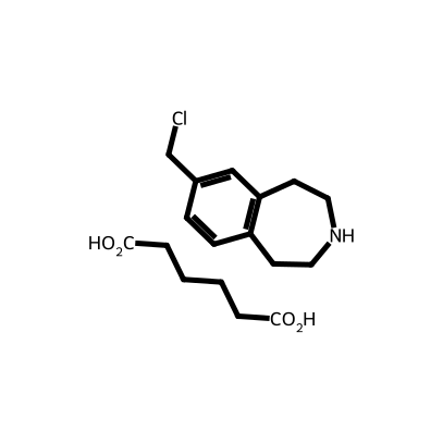 ClCc1ccc2c(c1)CCNCC2.O=C(O)CCCCC(=O)O